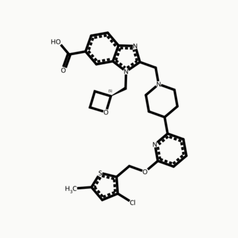 Cc1cc(Cl)c(COc2cccc(C3CCN(Cc4nc5ccc(C(=O)O)cc5n4C[C@@H]4CCO4)CC3)n2)s1